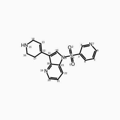 O=S(=O)(c1cccnc1)n1cc(C2=CCNCC2)c2ncccc21